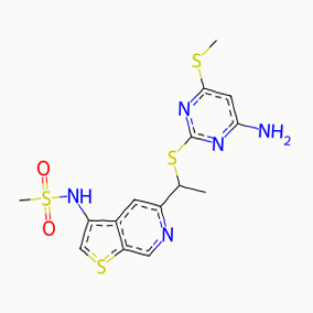 CSc1cc(N)nc(SC(C)c2cc3c(NS(C)(=O)=O)csc3cn2)n1